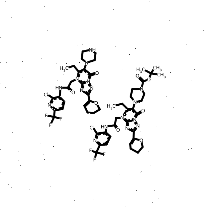 CCc1c(N2CCN(C(=O)OC(C)(C)C)CC2)c(=O)n2nc(C3=CCCCO3)nc2n1CC(=O)Nc1ccc(C(F)(F)F)nc1Cl.CCc1c(N2CCNCC2)c(=O)n2nc(C3=CCCCO3)nc2n1CC(=O)Nc1ccc(C(F)(F)F)nc1Cl